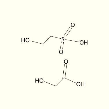 O=C(O)CO.O=S(=O)(O)CCO